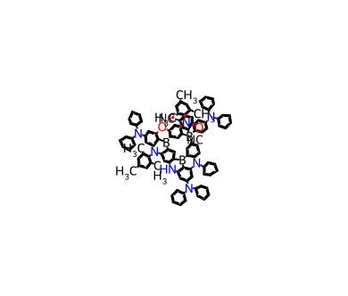 [C-]#[N+]c1ccc2c(c1)B1c3cc4c(cc3Nc3cc(N(c5ccccc5)c5ccccc5)cc(c31)N2c1ccccc1)N(c1c(C)cc(C)cc1C)c1cc(N(c2ccccc2)c2ccccc2)cc2c1B4c1cc3c(cc1O2)N(c1c(C)cc(C)cc1C)c1cc(N(c2ccccc2)c2ccccc2)cc2c1B3c1cc(C#N)ccc1O2